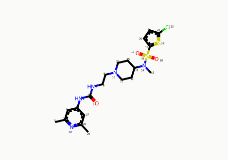 Cc1cc(NC(=O)NCCN2CCC(N(C)S(=O)(=O)c3ccc(Cl)s3)CC2)cc(C)n1